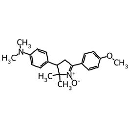 COc1ccc(C2=[N+]([O-])C(C)(C)C(c3ccc(N(C)C)cc3)C2)cc1